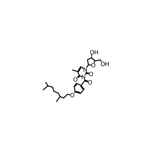 Cc1cn(C2C[C@@H](O)C(CO)O2)c(=O)n(C(=O)c2ccc(OCCC(C)CCCC(C)C)cc2)c1=O